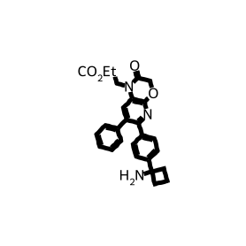 CCOC(=O)CN1C(=O)COc2nc(-c3ccc(C4(N)CCC4)cc3)c(-c3ccccc3)cc21